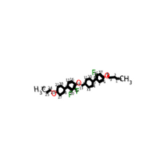 CCCCOc1ccc(C2CCC(COc3ccc(C4CCC(OCCC)CC4)c(F)c3F)CC2)c(F)c1